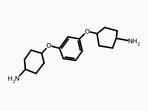 NC1CCC(Oc2cccc(OC3CCC(N)CC3)c2)CC1